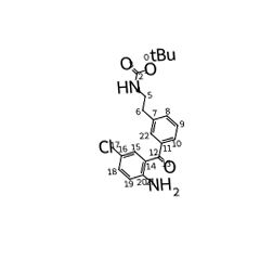 CC(C)(C)OC(=O)NCCc1cccc(C(=O)c2cc(Cl)ccc2N)c1